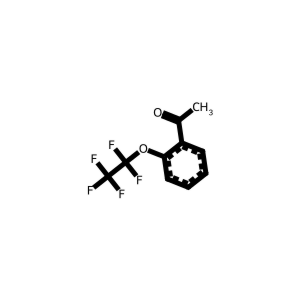 CC(=O)c1ccccc1OC(F)(F)C(F)(F)F